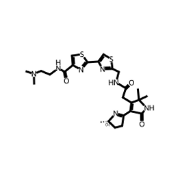 C[C@H]1CCC(C2=C(CC(=O)NCc3nc(-c4nc(C(=O)NCCN(C)C)cs4)cs3)C(C)(C)NC2=O)=N1